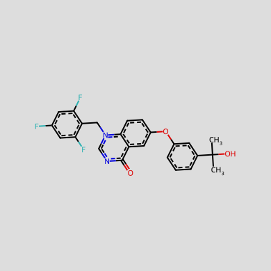 CC(C)(O)c1cccc(Oc2ccc3c(c2)c(=O)ncn3Cc2c(F)cc(F)cc2F)c1